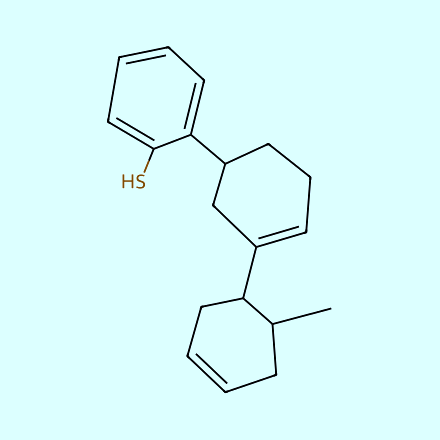 CC1CC=CCC1C1=CCCC(c2ccccc2S)C1